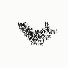 CCCCCc1cccc(NC(=S)[S-])c1CCCCC.CCCCCc1cccc(NC(=S)[S-])c1CCCCC.CCCCCc1cccc(NC(=S)[S-])c1CCCCC.CCCCCc1cccc(NC(=S)[S-])c1CCCCC.CCCCCc1cccc(NC(=S)[S-])c1CCCCC.CCCCCc1cccc(NC(=S)[S-])c1CCCCC.[Mo+6]